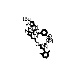 Cc1cccc(C)c1-c1cc2nc(n1)NS(=O)(=O)c1cccc(c1)C(=O)N(Cc1cnc3cc(C(C)(C)C)n(C)c3n1)C(CC1CC(F)(F)C1)CO2